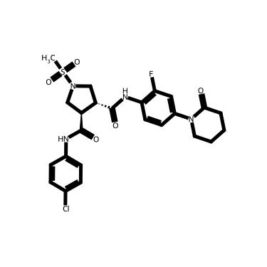 CS(=O)(=O)N1C[C@H](C(=O)Nc2ccc(Cl)cc2)[C@@H](C(=O)Nc2ccc(N3CCCCC3=O)cc2F)C1